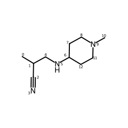 CC(C#N)CNC1CCN(C)CC1